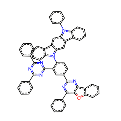 c1ccc(-c2nc(-c3ccccc3)nc(-c3cc(-c4nc(-c5ccccc5)c5oc6ccccc6c5n4)ccc3-n3c4ccccc4c4cc5c(cc43)c3ccccc3n5-c3ccccc3)n2)cc1